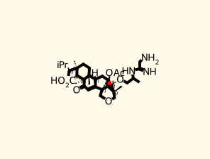 CC(=O)O[C@@H]1C[C@@]23COC[C@](C)([C@@H]2CC[C@H]2C3=CC(=O)[C@@]3(C)[C@H](C(=O)O)[C@@](C)([C@H](C)C(C)C)CC[C@]23C)[C@H]1OCC(C)NC(=N)CN